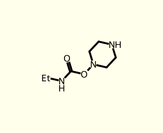 CCNC(=O)ON1CCNCC1